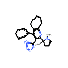 CC(C)(C)C1(c2nc3c(c(-c4ccccc4)c2-c2nnn[nH]2)CCCCC3)CCCN1C(=O)O